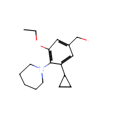 CCOc1cc(CO)cc(C2CC2)c1N1CCCCC1